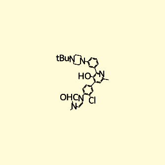 Cc1cc(-c2ccc(N(C=O)/C=C\N(C)C)c(Cl)c2)c(O)c(-c2cccc(N3CCN(C(C)(C)C)CC3)c2)n1